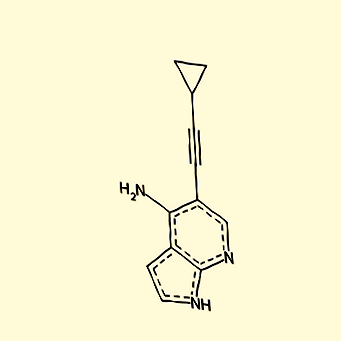 Nc1c(C#CC2CC2)cnc2[nH]ccc12